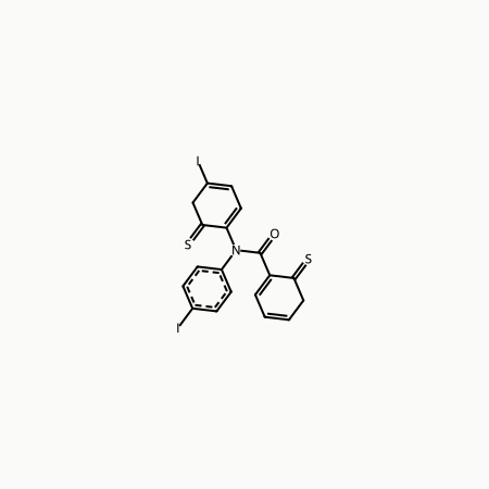 O=C(C1=CC=CCC1=S)N(C1=CC=C(I)CC1=S)c1ccc(I)cc1